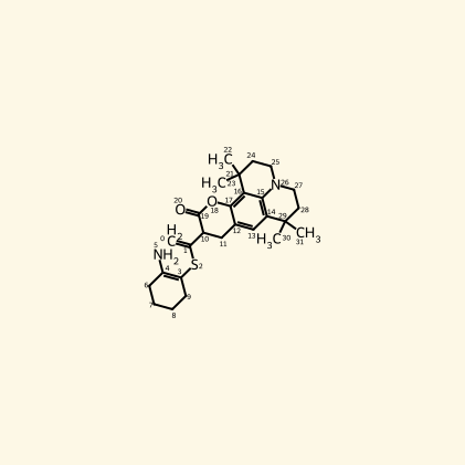 C=C(SC1=C(N)CCCC1)C1Cc2cc3c4c(c2OC1=O)C(C)(C)CCN4CCC3(C)C